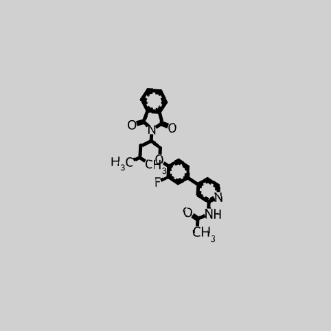 CC(=O)Nc1cc(-c2ccc(OCC(CC(C)C)N3C(=O)c4ccccc4C3=O)c(F)c2)ccn1